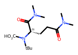 CN(C)C(=O)CC[C@@H](C(=O)N(C)C)N(C(=O)O)C(C)(C)C